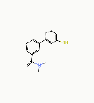 C=C(c1cccc(C2=CC(S)=CCC2)c1)N(C)C